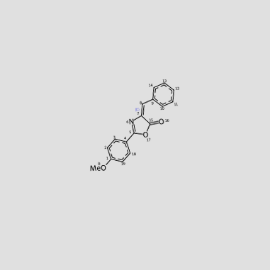 COc1ccc(C2=N/C(=C/c3ccccc3)C(=O)O2)cc1